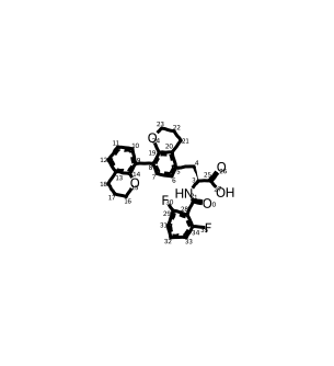 O=C(N[C@@H](Cc1ccc(-c2cccc3c2OCCC3)c2c1CCCO2)C(=O)O)c1c(F)cccc1F